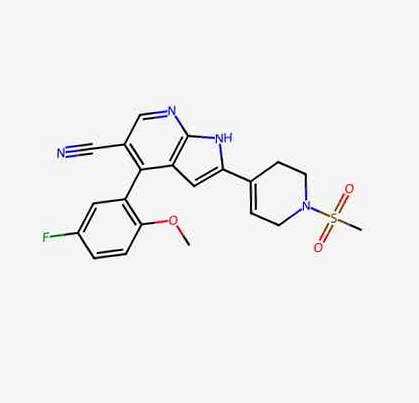 COc1ccc(F)cc1-c1c(C#N)cnc2[nH]c(C3=CCN(S(C)(=O)=O)CC3)cc12